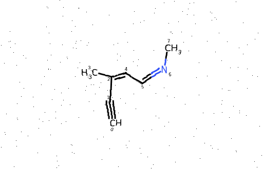 C#C/C(C)=C\C=N/C